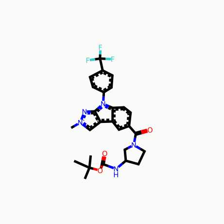 Cn1cc2c3cc(C(=O)N4CCC(NC(=O)OC(C)(C)C)C4)ccc3n(-c3ccc(C(F)(F)F)cc3)c2n1